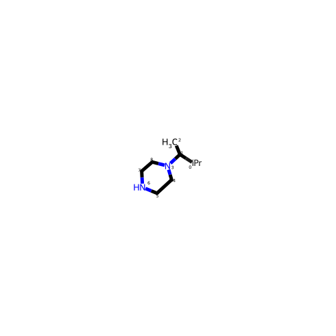 CC(C)C(C)N1CCNCC1